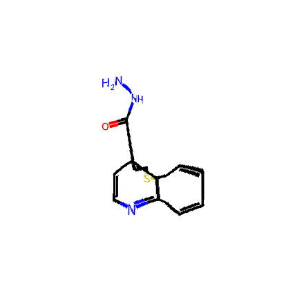 NNC(=O)C1=C2C=CN=C3C=CC=CC32SC1